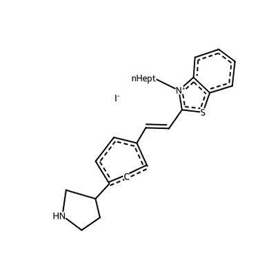 CCCCCCC[n+]1c(/C=C/c2ccc(C3CCNC3)cc2)sc2ccccc21.[I-]